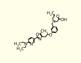 C=CCN(CC(=O)O)Cc1cccc(OCCc2nc(-c3ccc(N(CC)CC)nc3)oc2C)c1